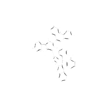 c1ccc2c(c1)Oc1ccccc1C21c2cc(-c3nc(-c4cc5ccccc5c5ccccc45)nc4c3sc3ccccc34)ccc2-c2cc3ccccc3cc21